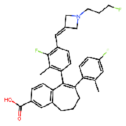 Cc1cc(F)ccc1C1=C(c2ccc(C=C3CN(CCCF)C3)c(F)c2C)c2ccc(C(=O)O)cc2CCC1